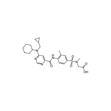 Cc1cc(S(=O)(=O)N(C)CC(=O)O)ccc1NC(=O)c1cc(N(CC2CC2)C2CCCCC2)ncn1